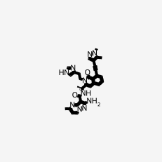 Cc1ccn2nc(N)c(C(=O)N[C@@H](C)c3cc4cccc(C#Cc5cnn(C)c5C)c4c(=O)n3CCc3c[nH]cn3)c2n1